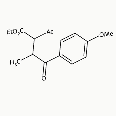 CCOC(=O)C(C(C)=O)C(C)C(=O)c1ccc(OC)cc1